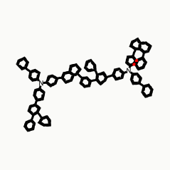 c1ccc(-c2ccc(N(c3ccc(-c4ccc(-c5ccccc5)c(-c5ccccc5)c4)cc3)c3ccc(-c4ccc5c(-c6cccc(-c7ccc(-c8ccc(N(c9ccc(-c%10ccccc%10)cc9)c9ccc(-c%10cccc%11cccc(-c%12ccccc%12)c%10%11)cc9)cc8)cc7-c7ccccc7)c6)cccc5c4)cc3)cc2)cc1